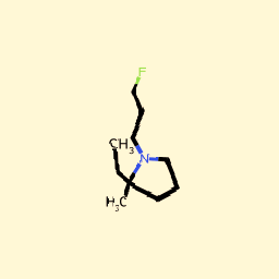 CCC1(C)CCCN1CCCF